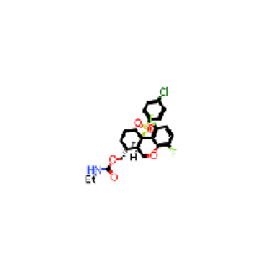 CCNC(=O)OC[C@@H]1CCCC2(S(=O)(=O)c3ccc(Cl)cc3)c3c(F)ccc(F)c3OC[C@@H]12